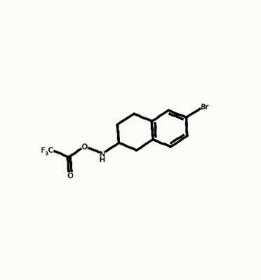 O=C(ONC1CCc2cc(Br)ccc2C1)C(F)(F)F